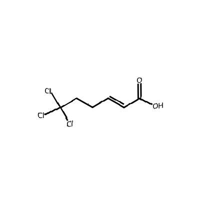 O=C(O)/C=C/CCC(Cl)(Cl)Cl